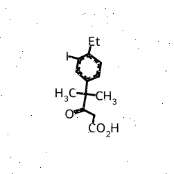 CCc1ccc(C(C)(C)C(=O)CC(=O)O)cc1I